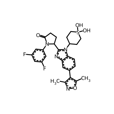 Cc1noc(C)c1-c1ccc2c(c1)nc(C1CCC(=O)N1c1cc(F)cc(F)c1)n2C1CCS(O)(O)CC1